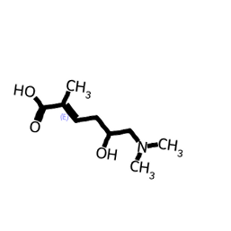 C/C(=C\CC(O)CN(C)C)C(=O)O